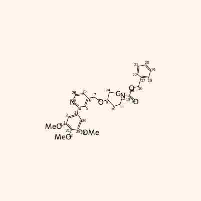 COc1cc(-c2cc(COC3CCN(C(=O)OCc4ccccc4)CC3)ccn2)cc(OC)c1OC